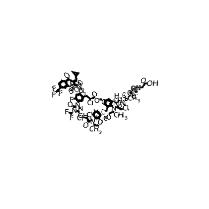 CC1COc2ccccc2N1C(=O)C(Cl)Cl.CCOC(=O)C(Cl)Cc1cc(-n2nc(C)n(C(F)F)c2=O)c(F)cc1Cl.CCc1cccc(C)c1N(C(=O)CCl)C(C)COC.CS(=O)(=O)c1cc(C(F)(F)F)ccc1C(=O)c1cnoc1C1CC1.C[S+](C)C.O=C(O)CNCP(=O)([O-])O